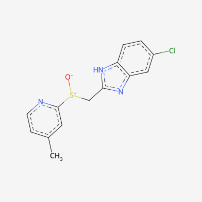 Cc1ccnc([S+]([O-])Cc2nc3cc(Cl)ccc3[nH]2)c1